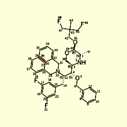 C[C@@H]1N[C@@H]([C@H](OCc2ccccc2)[C@H](Cc2cc(F)cc(F)c2)N(Cc2ccccc2)Cc2ccccc2)CO[C@H]1OCC(C)(CF)CF